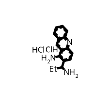 CCC(N)c1ccc2nc3ccccc3cc2c1N.Cl.Cl